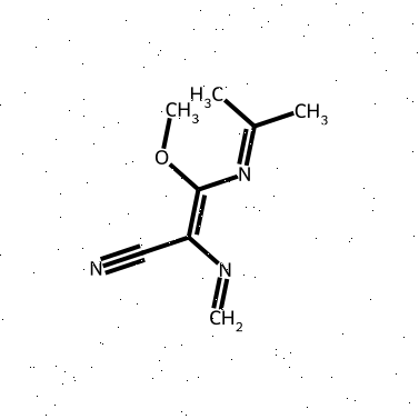 C=N/C(C#N)=C(\N=C(C)C)OC